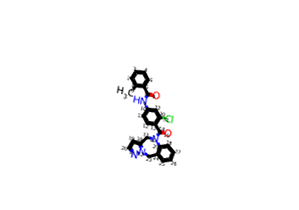 Cc1ccccc1C(=O)Nc1ccc(C(=O)N2Cc3ccnn3Cc3ccccc32)c(Cl)c1